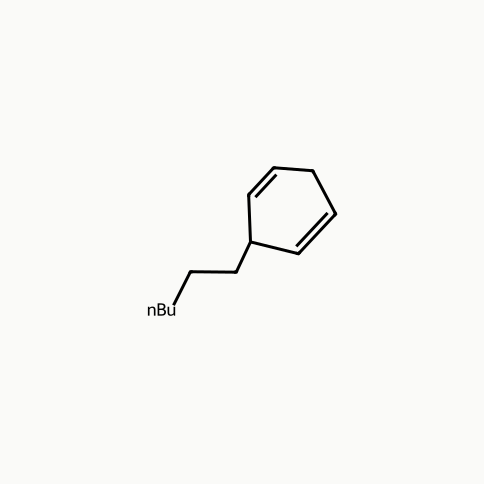 CCCCCCC1C=CCC=C1